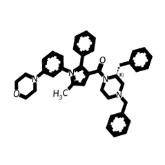 Cc1cc(C(=O)N2CCN(Cc3ccccc3)C[C@H]2Cc2ccccc2)c(-c2ccccc2)n1-c1cccc(N2CCOCC2)c1